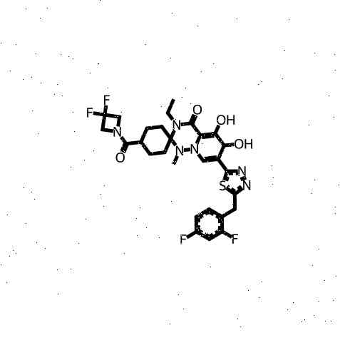 CCN1C(=O)C2=C(O)C(O)C(c3nnc(Cc4ccc(F)cc4F)s3)=CN2N(C)C12CCC(C(=O)N1CC(F)(F)C1)CC2